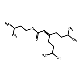 CC(C)CCOC(=O)C=C(CCC(C)C)CCC(C)C